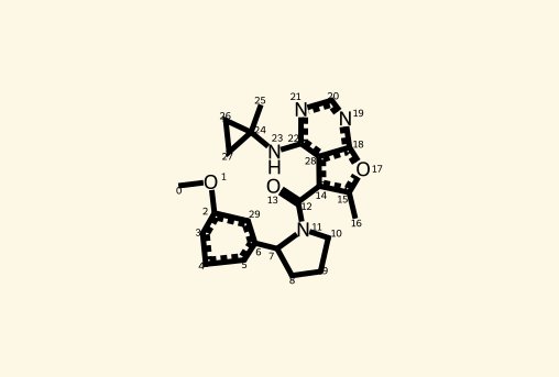 COc1cccc(C2CCCN2C(=O)c2c(C)oc3ncnc(NC4(C)CC4)c23)c1